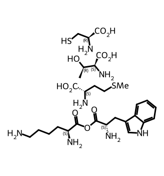 CSCC[C@H](N)C(=O)O.C[C@@H](O)[C@H](N)C(=O)O.NCCCC[C@H](N)C(=O)OC(=O)[C@@H](N)Cc1c[nH]c2ccccc12.N[C@@H](CS)C(=O)O